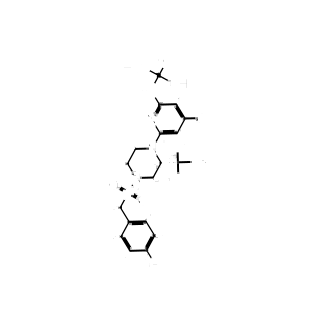 CC(C)(C)Oc1cc(O)cc(N2CCN(S(=O)(=O)Cc3ccc(F)cc3)C[C@H]2C(F)(F)F)n1